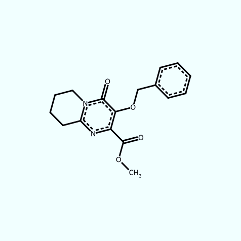 COC(=O)c1nc2n(c(=O)c1OCc1ccccc1)CCCC2